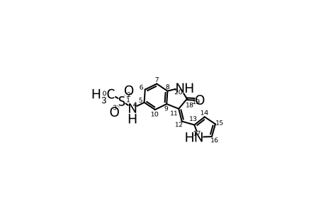 CS(=O)(=O)Nc1ccc2c(c1)C(=Cc1ccc[nH]1)C(=O)N2